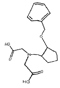 O=C(O)CN(CC(=O)O)C1CCCC1OCc1ccccc1